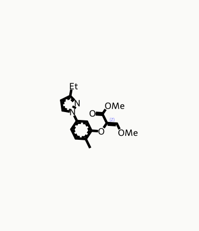 CCc1ccn(-c2ccc(C)c(O/C(=C\OC)C(=O)OC)c2)n1